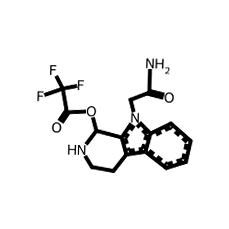 NC(=O)Cn1c2c(c3ccccc31)CCNC2OC(=O)C(F)(F)F